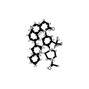 CC(=O)N1CCN(c2ccc(-n3c(=O)ccc4cnc5ccc(-c6cnc7ccccc7c6)cc5c43)cc2C(F)(F)F)CC1